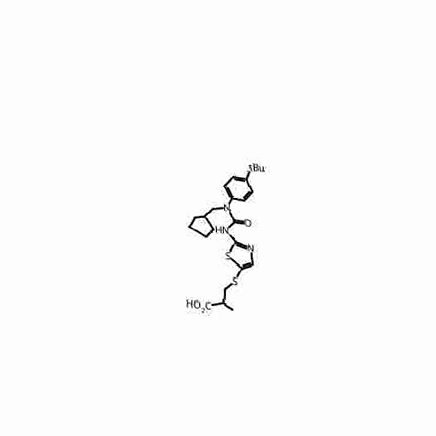 CC(CSc1cnc(NC(=O)N(CC2CCCC2)c2ccc(C(C)(C)C)cc2)s1)C(=O)O